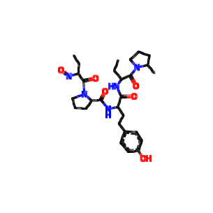 CCC(N=O)C(=O)N1CCCC1C(=O)NC(CCc1ccc(O)cc1)C(=O)NC(CC)C(=O)N1CCCC1C